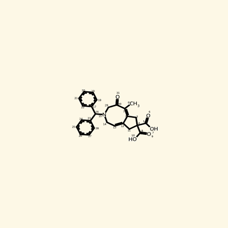 CC1=C2CC(C(=O)O)(C(=O)O)CC2=CCN(C(c2ccccc2)c2ccccc2)CC1=O